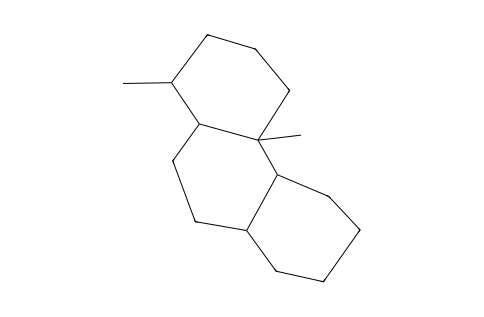 CC1CCCC2(C)C1CCC1CCCCC12